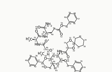 C[C@H](NC(=O)[C@@H](C)O[C@@H]1[C@@H](NC(=O)C2COC3(CCCCC3)O2)[C@@H](OCc2ccccc2)O[C@@H]2COC(c3ccccc3)O[C@@H]12)C(=O)N[C@H](CCC(=O)OCc1ccccc1)C(N)=O